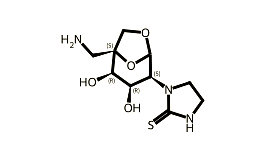 NC[C@@]12COC(O1)[C@@H](N1CCNC1=S)[C@@H](O)[C@H]2O